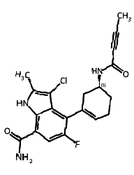 CC#CC(=O)N[C@H]1CCC=C(c2c(F)cc(C(N)=O)c3[nH]c(C)c(Cl)c23)C1